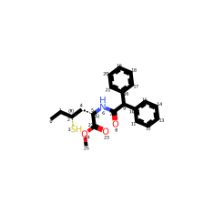 CC[C@@H](S)C[C@H](NC(=O)C(c1ccccc1)c1ccccc1)C(=O)OC